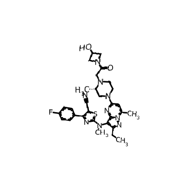 CCc1nn2c(C)cc(N3CCN(CC(=O)N4CC(O)C4)[C@@H](C)C3)nc2c1N(C)c1nc(-c2ccc(F)cc2)c(C#N)s1